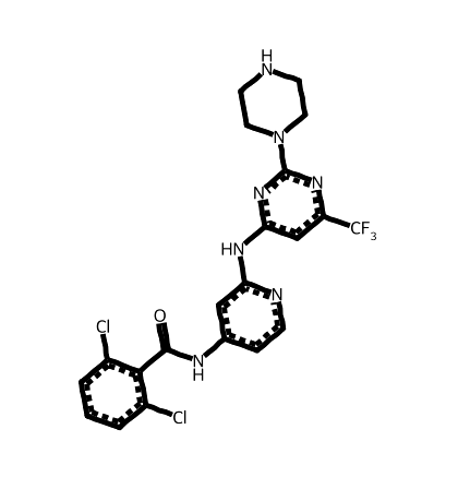 O=C(Nc1ccnc(Nc2cc(C(F)(F)F)nc(N3CCNCC3)n2)c1)c1c(Cl)cccc1Cl